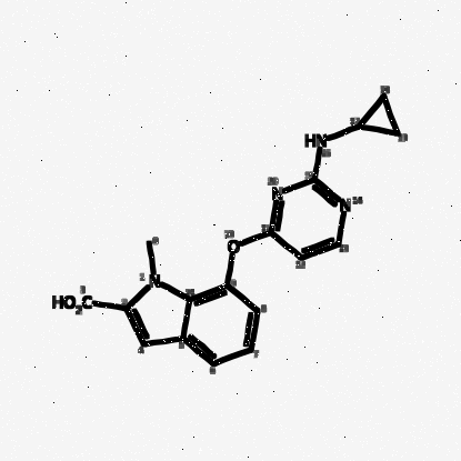 Cn1c(C(=O)O)cc2cccc(Oc3ccnc(NC4CC4)n3)c21